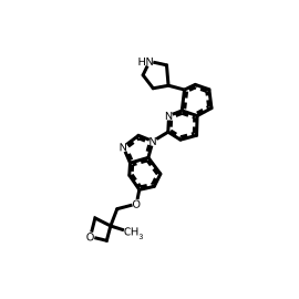 CC1(COc2ccc3c(c2)ncn3-c2ccc3cccc(C4CCNC4)c3n2)COC1